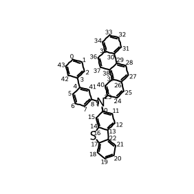 c1ccc(-c2cccc(N(c3ccc4c(c3)sc3ccccc34)c3ccc4ccc5c6ccccc6ccc5c4c3)c2)cc1